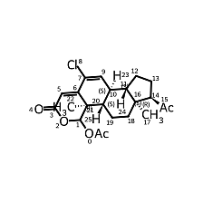 CC(=O)OC1OC(=O)C=C2C(Cl)=C[C@H]3[C@@H]4CC[C@@H](C(C)=O)[C@@]4(C)CC[C@@H]3[C@]21C